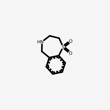 O=S1(=O)CCNCc2[c]cccc21